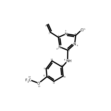 C=Cc1nc(Cl)nc(Nc2ccc(OC(F)(F)F)cc2)n1